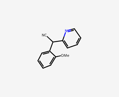 COc1ccccc1C(C#N)c1ccccn1